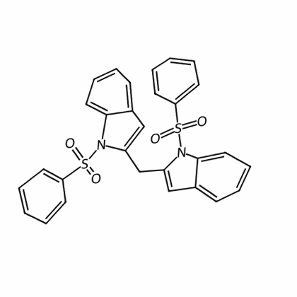 O=S(=O)(c1ccccc1)n1c(Cc2cc3ccccc3n2S(=O)(=O)c2ccccc2)cc2ccccc21